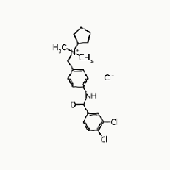 C[N+](C)(Cc1ccc(NC(=O)c2ccc(Cl)c(Cl)c2)cc1)C1CCCC1.[Cl-]